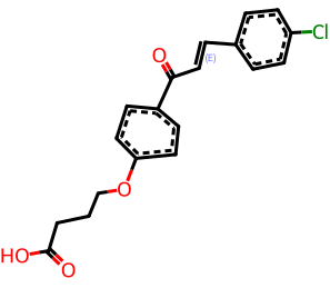 O=C(O)CCCOc1ccc(C(=O)/C=C/c2ccc(Cl)cc2)cc1